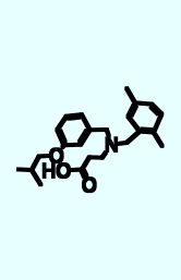 Cc1ccc(C)c(CN(CCC(=O)O)Cc2cccc(OCC(C)C)c2)c1